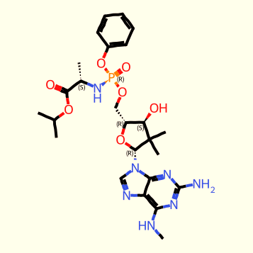 CNc1nc(N)nc2c1ncn2[C@@H]1O[C@H](CO[P@](=O)(N[C@@H](C)C(=O)OC(C)C)Oc2ccccc2)[C@@H](O)C1(C)C